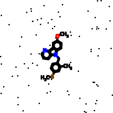 COc1ccc2c(c1)c1ncccc1n2Cc1ccc(SC)cc1C